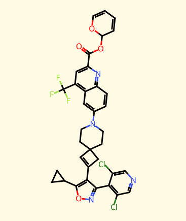 O=C(OC1C=CC=CO1)c1cc(C(F)(F)F)c2cc(N3CCC4(C=C(c5c(-c6c(Cl)cncc6Cl)noc5C5CC5)C4)CC3)ccc2n1